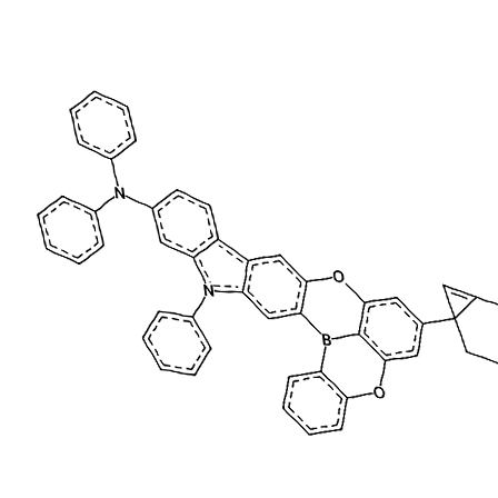 C1=C2CC3CC3CC12c1cc2c3c(c1)Oc1cc4c5ccc(N(c6ccccc6)c6ccccc6)cc5n(-c5ccccc5)c4cc1B3c1ccccc1O2